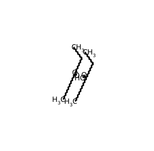 CCCCCCCC/C=C\CCCCCCCCC(CCCCCCCCCCCCCCCC)C(=O)O.CCCCCCCC/C=C\CCCCCCCCOC(=O)CCCCCCCCCCCCCCCCC